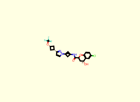 O=C(NC12CC(n3ccc([C@H]4C[C@@H](OC(F)(F)F)C4)n3)(C1)C2)C1C[C@@H](O)c2cc(Cl)ccc2O1